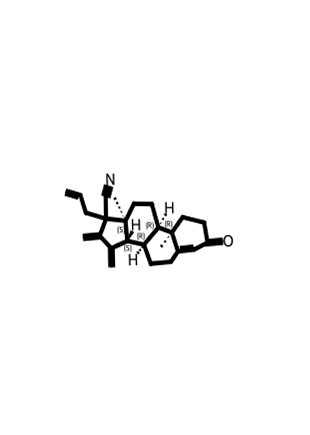 C=CCC1(C#N)C(=C)C(=C)[C@H]2[C@@H]3CCC4=CC(=O)CC[C@]4(C)[C@@H]3CC[C@@]21C